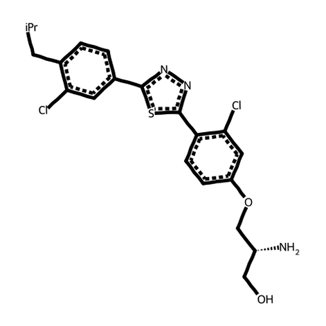 CC(C)Cc1ccc(-c2nnc(-c3ccc(OC[C@H](N)CO)cc3Cl)s2)cc1Cl